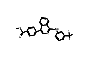 COC(=O)c1ccc(-c2cnc(Nc3cccc(C(F)(F)F)c3)c3ccccc23)cc1